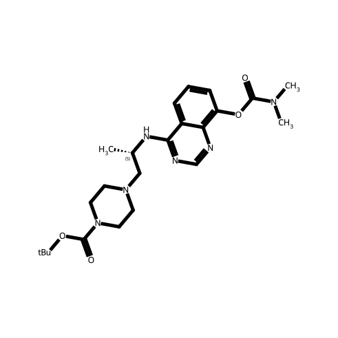 C[C@@H](CN1CCN(C(=O)OC(C)(C)C)CC1)Nc1ncnc2c(OC(=O)N(C)C)cccc12